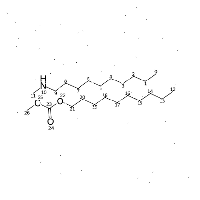 CCCCCCCCCCNC.CCCCCCCCCCOC(=O)OC